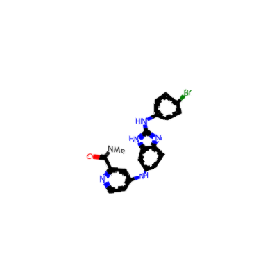 CNC(=O)c1cc(Nc2ccc3nc(Nc4ccc(Br)cc4)[nH]c3c2)ccn1